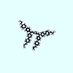 CCC[C@H]1CC[C@H](c2ccc(C(=CCOCC=C(c3ccc([C@H]4CC[C@H](CCC)CC4)cc3)[C@H]3CC[C@H]([C@H]4CC[C@H](CCC)CC4)CC3)[C@H]3CC[C@H]([C@H]4CC[C@H](CCC)CC4)CC3)cc2)CC1